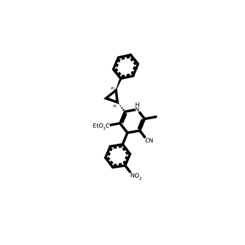 CCOC(=O)C1=C([C@@H]2C[C@H]2c2ccccc2)NC(C)=C(C#N)C1c1cccc([N+](=O)[O-])c1